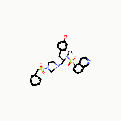 CN(C(Cc1ccc(O)cc1)CN1CCN(S(=O)(=O)Cc2ccccc2)CC1)S(=O)(=O)c1cccc2cnccc12